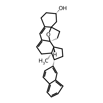 C[C@]12CC=C3C=C4CC[C@H](O)CC45CC[C@]3(O5)[C@@H]1CC[C@@H]2c1ccc2ccccc2c1